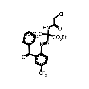 CCOC(=O)C(/N=N/c1ccc(C(F)(F)F)cc1C(=O)c1ccccc1)(NC(=O)CCl)C(=O)OCC